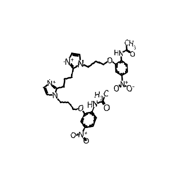 CC(=O)Nc1ccc([N+](=O)[O-])cc1OCCCN1C=C[N+]=C1CCCC1=[N+]C=CN1CCCOc1cc([N+](=O)[O-])ccc1NC(C)=O